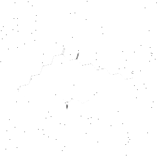 CCCCCCCCC(=O)OC(=O)CCCCCCCC.CCOC(=O)O